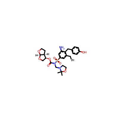 CC(C)Cc1cc(S(=O)(=O)N(CN2CCOC2(C)C)C(=O)O[C@H]2CO[C@H]3OCC[C@H]32)cc(N)c1Cc1ccc(O)cc1